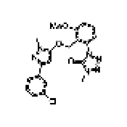 COc1cccc(-n2nnn(C)c2=O)c1COc1cc(-c2cccc(Cl)c2)nn1C